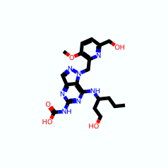 CCCC(CCO)Nc1nc(NC(=O)O)nc2cnn(Cc3nc(CO)ccc3OC)c12